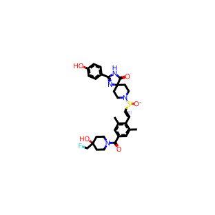 Cc1cc(C(=O)N2CCC(O)(CF)CC2)cc(C)c1/C=C/[S+]([O-])N1CCC2(CC1)N=C(c1ccc(O)cc1)NC2=O